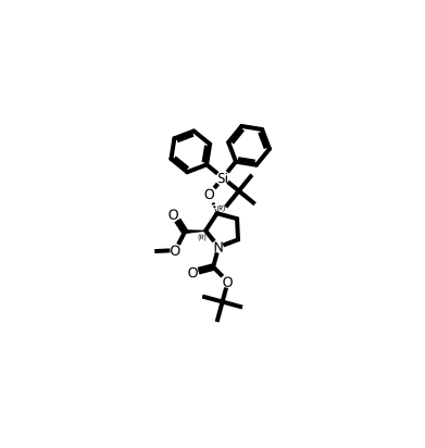 COC(=O)[C@H]1[C@H](O[Si](c2ccccc2)(c2ccccc2)C(C)(C)C)CCN1C(=O)OC(C)(C)C